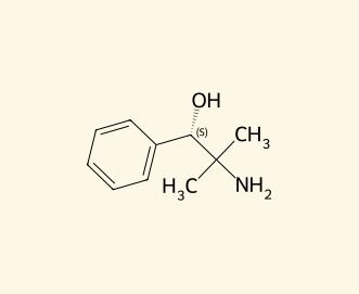 CC(C)(N)[C@@H](O)c1ccccc1